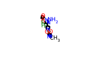 Cn1cc(S(=O)(=O)N2CCC(c3nc(N)nc(OC4CCOC4)c3C(F)(F)F)CC2)cn1